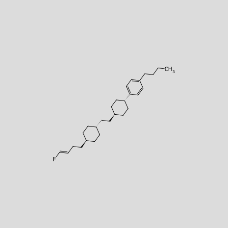 CCCCc1ccc([C@H]2CC[C@H](CC[C@H]3CC[C@H](CCC=CF)CC3)CC2)cc1